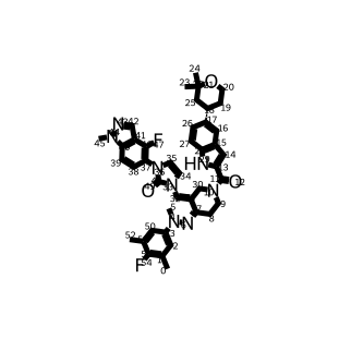 Cc1cc(N(C)/N=C2/CCN(C(=O)c3cc4cc([C@H]5CCOC(C)(C)C5)ccc4[nH]3)C/C2=C\n2ccn(-c3ccc4c(cnn4C)c3F)c2=O)cc(C)c1F